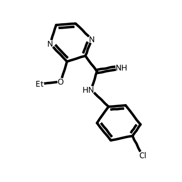 CCOc1nccnc1C(=N)Nc1ccc(Cl)cc1